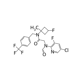 CC1(N(Cc2ccc(C(F)(F)F)cc2)C(=O)CN(C=O)c2ncc(Cl)cc2F)CC(F)C1